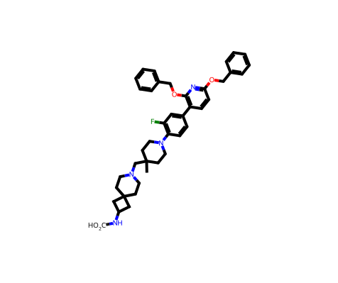 CC1(CN2CCC3(CC2)CC(NC(=O)O)C3)CCN(c2ccc(-c3ccc(OCc4ccccc4)nc3OCc3ccccc3)cc2F)CC1